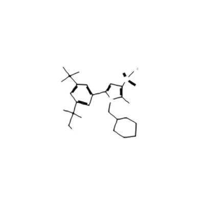 Cc1c(S(N)(=O)=O)cc(-c2cc(C(C)(C)C)cc(C(C)(C)CO)c2)n1CC1CCCCC1